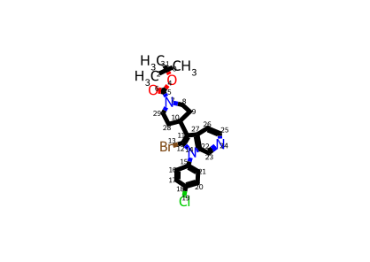 CC(C)(C)OC(=O)N1CCC(c2c(Br)n(-c3ccc(Cl)cc3)c3cnccc23)CC1